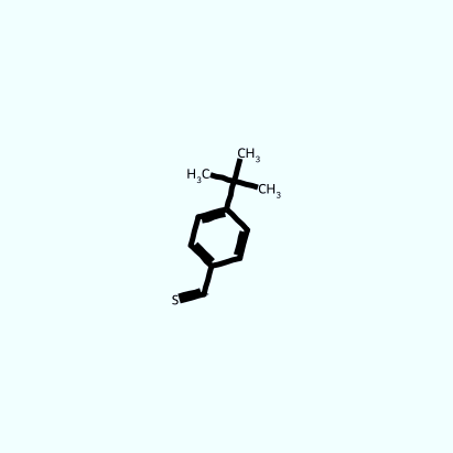 CC(C)(C)c1ccc([C]=S)cc1